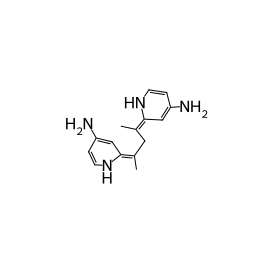 CC(CC(C)=C1C=C(N)C=CN1)=C1C=C(N)C=CN1